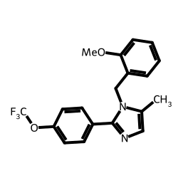 COc1ccccc1Cn1c(C)cnc1-c1ccc(OC(F)(F)F)cc1